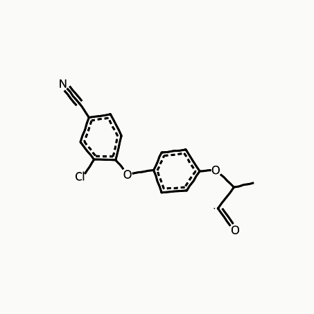 CC([C]=O)Oc1ccc(Oc2ccc(C#N)cc2Cl)cc1